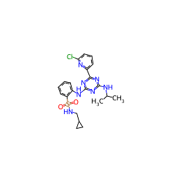 CC(C)Nc1nc(Nc2ccccc2S(=O)(=O)NCC2CC2)nc(-c2cccc(Cl)n2)n1